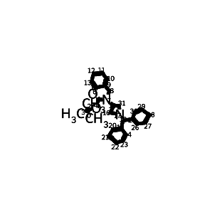 CC(C)(C)OC(=O)N(Cc1ccccc1)C1CN(C(c2ccccc2)c2ccccc2)C1